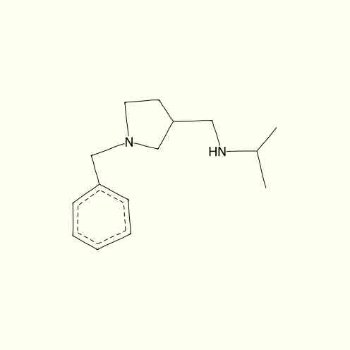 CC(C)NCC1CCN(Cc2ccccc2)C1